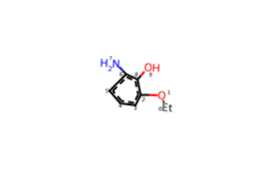 CCOc1cccc(N)c1O